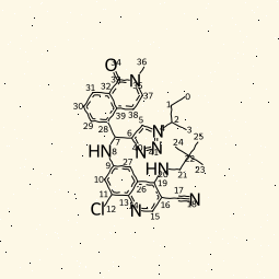 CCC(C)n1cc(C(Nc2cc(Cl)c3ncc(C#N)c(NCC(C)(C)C)c3c2)c2cccc3c(=O)n(C)ccc23)nn1